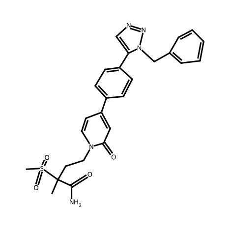 CC(CCn1ccc(-c2ccc(-c3cnnn3Cc3ccccc3)cc2)cc1=O)(C(N)=O)S(C)(=O)=O